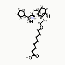 O=C(O)CCCCCCCOCC[C@@H]1[C@H](/C=C/C(O)C2CCCC2)[C@@H]2CC[C@H]1O2